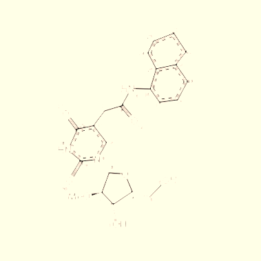 CO[C@@H]1[C@@H](O)[C@@H](CO)O[C@H]1n1cc(CC(=O)Nc2cccc3ccccc23)c(=O)[nH]c1=O